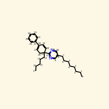 CCCCCCCCc1cnc(C2(CCCCC)C=CC(c3ccccc3)=CC2)nc1